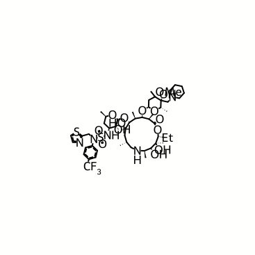 CC[C@H]1OC(=O)[C@H](C)[C@@H](O[C@H]2C[C@@](C)(OC)[C@](O)(CN3CCCCC3)[C@H](C)O2)[C@H](C)[C@@H](O[C@@H]2O[C@H](C)C[C@H](NS(=O)(=O)N(Cc3nccs3)c3ccc(C(F)(F)F)cc3)[C@H]2O)[C@](C)(O)C[C@@H](C)CN[C@H](C)[C@@H](O)[C@]1(C)O